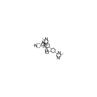 Cc1cncc(-c2ccc(-c3cc4cnc(C)nc4n(CC4(O)CCN(C)CC4)c3=O)c(Cl)c2)n1